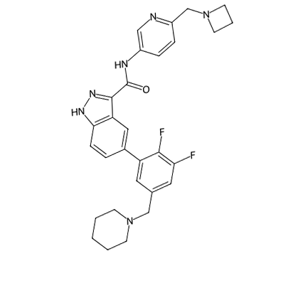 O=C(Nc1ccc(CN2CCC2)nc1)c1n[nH]c2ccc(-c3cc(CN4CCCCC4)cc(F)c3F)cc12